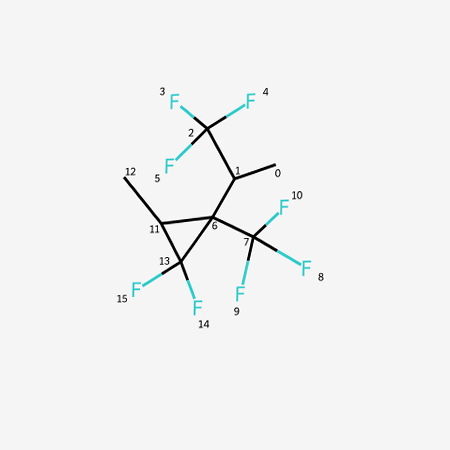 CC(C(F)(F)F)C1(C(F)(F)F)C(C)C1(F)F